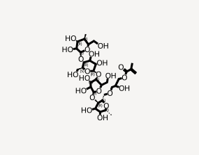 C=C(C)C(=O)OCC(O)COC[C@@H]1O[C@H](C)C(O)C(O)[C@H]1O[C@@H]1OC(CO)[C@H](O[C@H]2O[C@@H](CO)[C@H](O[C@@H]3OC(CO)[C@H](C)[C@@H](O)C3O)C(O)C2O)[C@@H](O)C1O